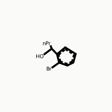 CCCC(O)c1ccccc1Br